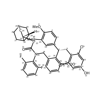 COc1ccc([C@H](Cc2c(Cl)c[n+](O)cc2Cl)c2c(CN(C(=O)O[C@H]3CN4CCC3CC4)c3c(F)cccc3F)cccc2C(=O)[O-])cc1OC